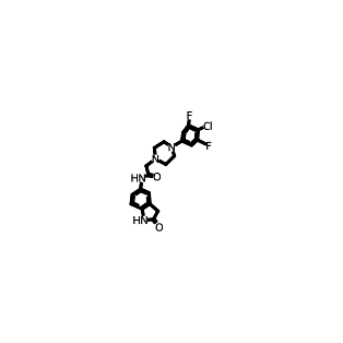 O=C(CN1CCN(c2cc(F)c(Cl)c(F)c2)CC1)Nc1ccc2c(c1)CC(=O)N2